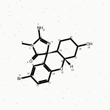 CN1C(=O)[C@]2(N=C1N)c1cc(Br)ccc1O[C@H]1CC(O)CCC12